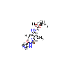 Cc1cc(NCC(=O)OC(C)(C)C)cc(C)c1-c1csc(NC(=O)c2ccncc2)n1